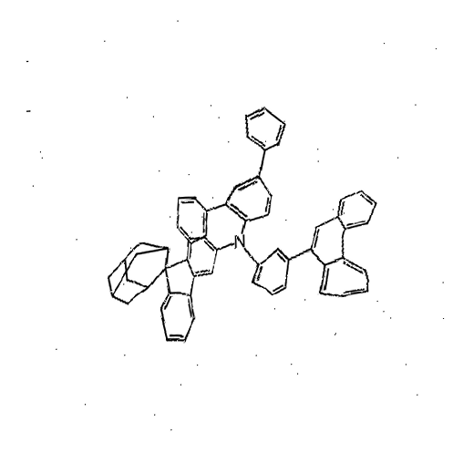 c1ccc(-c2ccc(N(c3cccc(-c4cc5ccccc5c5ccccc45)c3)c3ccc4c(c3)-c3ccccc3C43C4CC5CC(C4)CC3C5)c(-c3ccccc3)c2)cc1